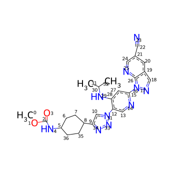 COC(=O)NC1CCC(c2cn(-c3cnc(-n4ncc5cc(C#N)cnc54)cc3NC(C)C)nn2)CC1